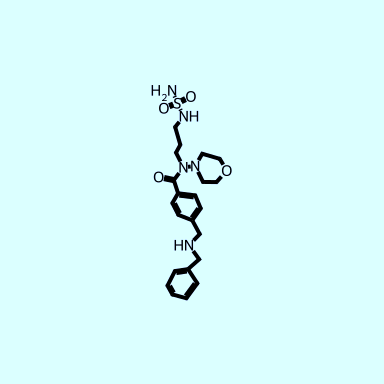 NS(=O)(=O)NCCCN(C(=O)c1ccc(CNCc2ccccc2)cc1)N1CCOCC1